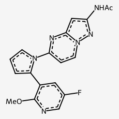 COc1ncc(F)cc1-c1cccn1-c1ccn2nc(NC(C)=O)cc2n1